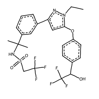 CCn1nc(-c2cccc(C(C)(C)NS(=O)(=O)CC(F)(F)F)c2)cc1Oc1ccc(C(O)C(F)(F)F)cc1